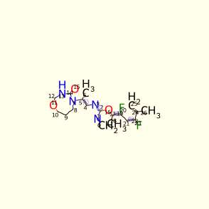 C=N/C(=N\C=C(/C)N1CCCOCNC1=O)O/C(C)=C(F)/C=C(/F)C(=C)C